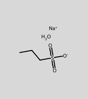 CCCS(=O)(=O)[O-].O.[Na+]